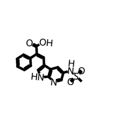 CS(=O)(=O)Nc1cnc2[nH]cc(/C=C(/C(=O)O)c3ccccc3)c2c1